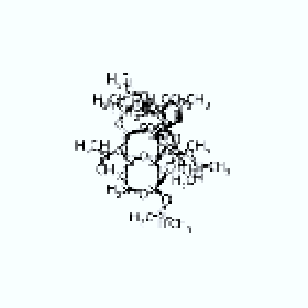 C[SiH](C)C[Si]1(O[SiH2]O[SiH](C)C)O[Si]2(O[SiH](C)C)O[Si]3(O[SiH](C)C)O[SiH2]O[Si]4(O[SiH](C)C)O[Si](O[SiH](C)C)(O1)O[Si](O[SiH](C)C)(O2)O[Si](O[SiH](C)C)(O3)O4